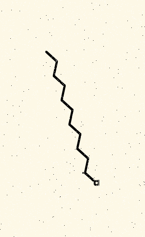 CCCCCCCCCC[CH]Cl